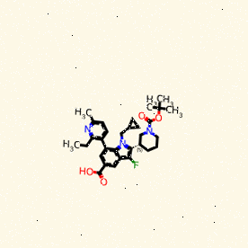 CCc1nc(C)ccc1-c1cc(C(=O)O)cc2c(F)c([C@H]3CCCN(C(=O)OC(C)(C)C)C3)n(CC3CC3)c12